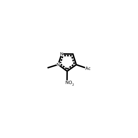 CC(=O)c1cnn(C)c1[N+](=O)[O-]